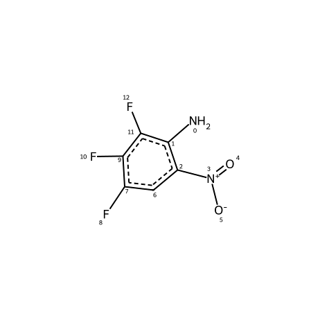 Nc1c([N+](=O)[O-])cc(F)c(F)c1F